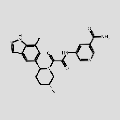 Cc1cc([C@@H]2CC[C@@H](C)CN2C(=O)C(=O)Nc2cncc(C(N)=O)c2)cc2cn[nH]c12